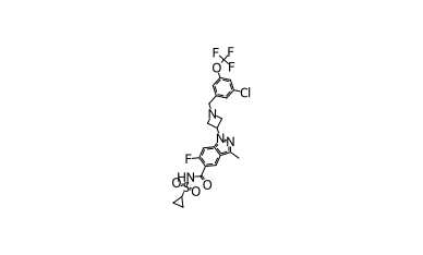 Cc1nn(C2CN(Cc3cc(Cl)cc(OC(F)(F)F)c3)C2)c2cc(F)c(C(=O)NS(=O)(=O)C3CC3)cc12